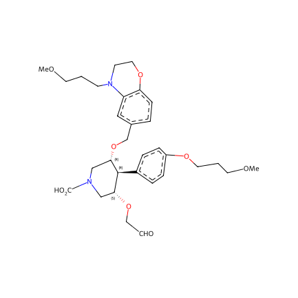 COCCCOc1ccc([C@@H]2[C@@H](OCc3ccc4c(c3)N(CCCOC)CCO4)CN(C(=O)O)C[C@H]2OCC=O)cc1